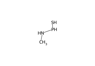 CNPS